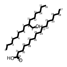 CCCCCCCCC(CO)CCCCCC.CCCCCCCCCCCCCCCC(=O)O